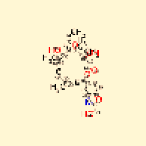 C=CCC[C@H]1C(=O)C(C)(C)[C@@H](O)CC(=O)O[C@H](c2ccc3oc(CO)nc3c2)CC=C(C)CCC[C@H](C)[C@@H]1O